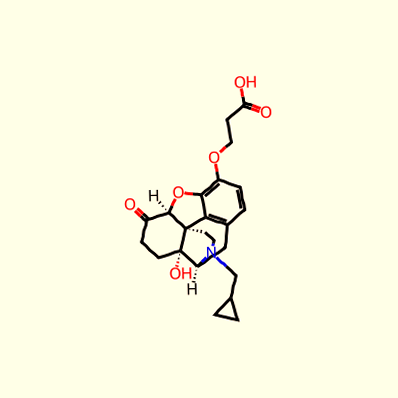 O=C(O)CCOc1ccc2c3c1O[C@@H]1C(=O)CC[C@]4(O)[C@H](C2)N(CC2CC2)CC[C@@]314